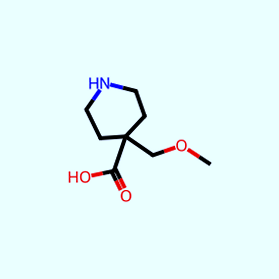 COCC1(C(=O)O)CCNCC1